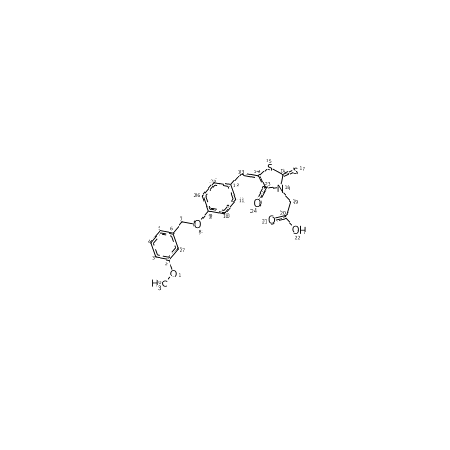 COc1cccc(COc2ccc(C=C3SC(=S)N(CC(=O)O)C3=O)cc2)c1